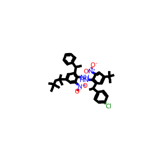 CC(c1ccc(Cl)cc1)c1cc(C(C)(C)C)cc([N+](=O)[O-])c1NNc1c(C(C)c2ccccc2)cc(C(C)(C)CC(C)(C)C)cc1[N+](=O)[O-]